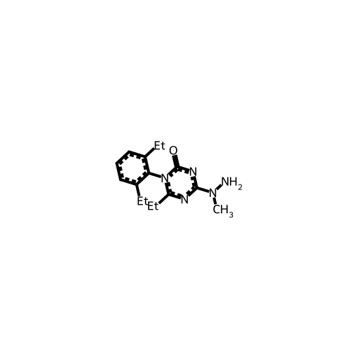 CCc1cccc(CC)c1-n1c(CC)nc(N(C)N)nc1=O